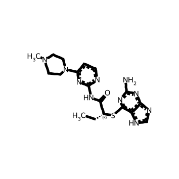 CC[C@@H](Sc1nc(N)nc2nc[nH]c12)C(=O)Nc1nccc(N2CCN(C)CC2)n1